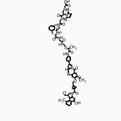 COc1cc2c(cc1OCC13CC(C(=O)N4CC(CCl)c5c4cc(O)c4cccc(C)c54)(C1)C3)N=C[C@@H]1CC(c3ccc(NC(=O)C(C)OCNC(=O)CNC(=O)[C@H](Cc4ccccc4)NC(=O)CNC(=O)CNC(=O)C(CNCC(=O)O)N4C(=O)C=CC4=O)cc3)=CN1C2=O